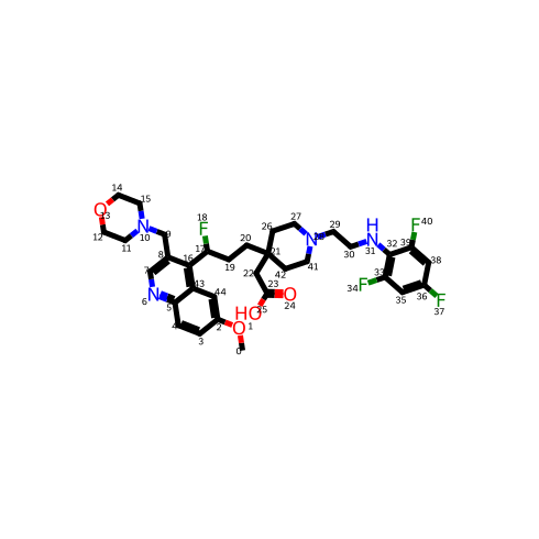 COc1ccc2ncc(CN3CCOCC3)c(C(F)CCC3(CC(=O)O)CCN(CCNc4c(F)cc(F)cc4F)CC3)c2c1